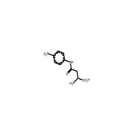 NC(CC(=O)Nc1ccc([N+](=O)[O-])cc1)C(=O)O